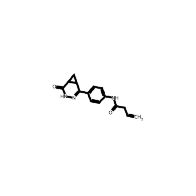 C=CCC(=O)Nc1ccc(C2=NNC(=O)C3CC23)cc1